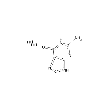 Cl.Cl.Nc1nc2[nH]cnc2c(=O)[nH]1